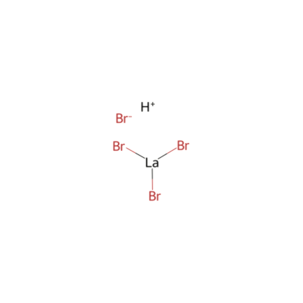 [Br-].[Br][La]([Br])[Br].[H+]